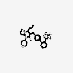 CCCc1c(Cc2ccc(-c3ccccc3-c3noc(=O)[nH]3)cc2)c(=O)n(C2CCOCC2)c2ccnn12